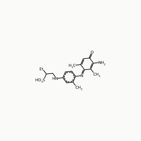 CCC(CNc1ccc(N=C2C(C)=CC(=O)C(N)=C2C)c(C)c1)S(=O)(=O)O